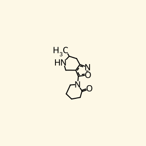 CC1Cc2noc(N3CCCCC3=O)c2CN1